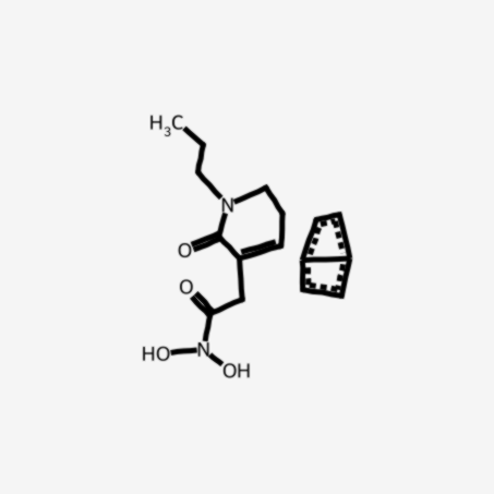 CCCN1CCC=C(CC(=O)N(O)O)C1=O.c1cc2ccc1-2